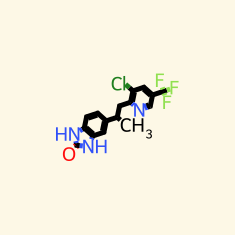 CC(Cc1ncc(C(F)(F)F)cc1Cl)c1ccc2[nH]c(=O)[nH]c2c1